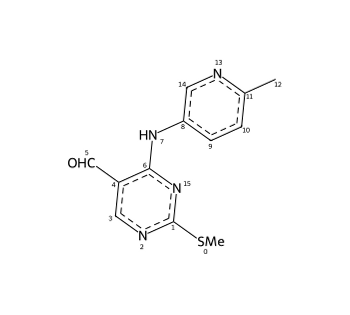 CSc1ncc(C=O)c(Nc2ccc(C)nc2)n1